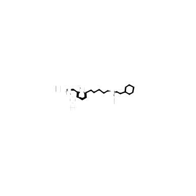 O/N=C/c1nc(CCCCCNCCC2CCCCC2)ccc1O